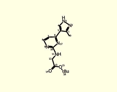 Cc1n[nH]cc1-c1ccnc(NCC(=O)OC(C)(C)C)n1